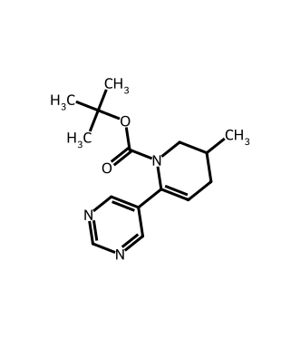 CC1CC=C(c2cncnc2)N(C(=O)OC(C)(C)C)C1